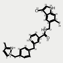 Cc1ccn(Cc2ccc(Cc3cc(C(=O)NCc4cc5c(Cl)c[nH]c5cc4F)ccn3)cc2)n1